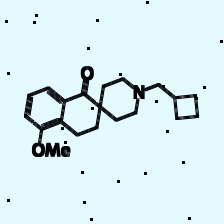 COc1cccc2c1CCC1(CCN(CC3CCC3)CC1)C2=O